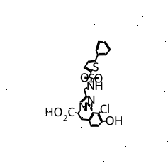 O=C(O)[C@H](Cc1ccc(O)c(Cl)c1)n1cc(CNS(=O)(=O)c2ccc(-c3ccccc3)s2)nn1